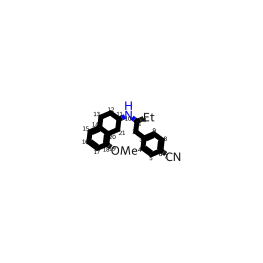 CCC(Cc1ccc(C#N)cc1)NC1CCc2cccc(OC)c2C1